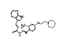 Cc1cc(OCCN2CCOCC2)ccc1/N=C1/NC(=O)/C(=C/c2c[nH]c3ncccc23)S1